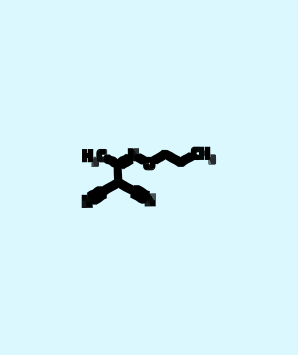 CCCON=C(C)C(C#N)C#N